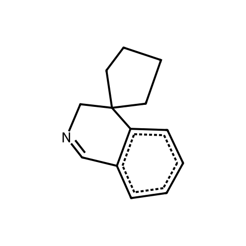 C1=NCC2(CCCC2)c2ccccc21